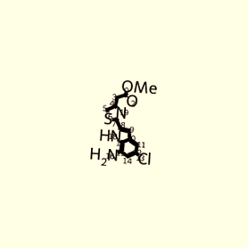 COC(=O)CC1CSC(c2cc3cc(Cl)cc(N)c3[nH]2)=N1